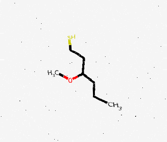 CCCC(CCS)OC